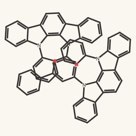 c1ccc(-c2cc(-n3c4ccccc4c4ccc5c6ccccc6n(-c6ccccc6)c5c43)nc(-n3c4ccccc4c4ccc5c6ccccc6n(-c6ccccc6)c5c43)c2)cc1